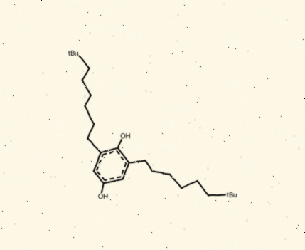 CC(C)(C)CCCCCCc1cc(O)cc(CCCCCCC(C)(C)C)c1O